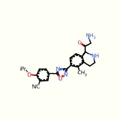 Cc1c(-c2noc(-c3ccc(OC(C)C)c(C#N)c3)n2)ccc2c1CCNC2C(=O)CN